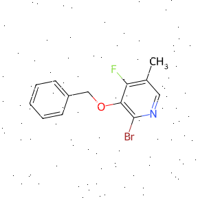 Cc1cnc(Br)c(OCc2ccccc2)c1F